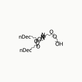 CCCCCCCCCCCCCC(=O)OCC(Cn1cc(CCC(=O)C(C)(C)OCCC(C)(C)O)nn1)OC(=O)CCCCCCCCCCCCC